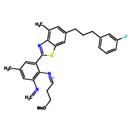 C=Nc1cc(C)cc(-c2nc3c(C)cc(CCCc4cccc(F)c4)cc3s2)c1/N=C\CCOC